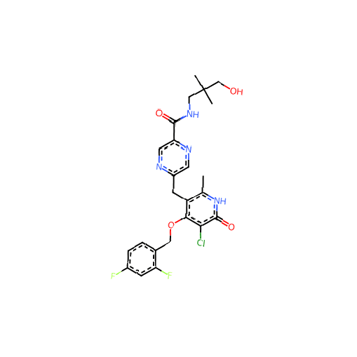 Cc1[nH]c(=O)c(Cl)c(OCc2ccc(F)cc2F)c1Cc1cnc(C(=O)NCC(C)(C)CO)cn1